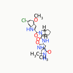 COc1cc(Cl)cc2[nH]c(C(=O)N3C[C@@H]4CCC[C@@H]4[C@H]3C(=O)NC(C[C@@H]3CC(C)(C)NC3=O)C(N)=O)cc12